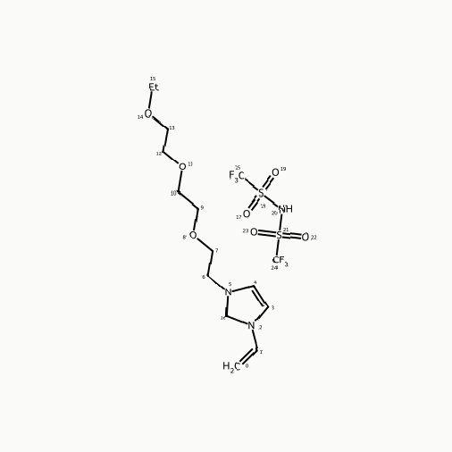 C=CN1C=CN(CCOCCOCCOCC)C1.O=S(=O)(NS(=O)(=O)C(F)(F)F)C(F)(F)F